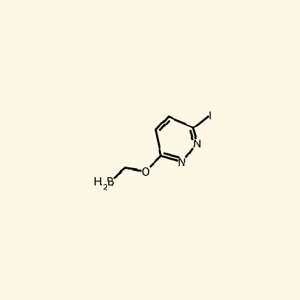 BCOc1ccc(I)nn1